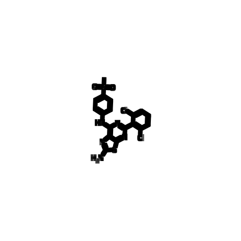 CS(=O)(=O)c1ccc(Nc2nc(-c3c(Cl)cccc3Cl)nc3sc(N)nc23)cc1